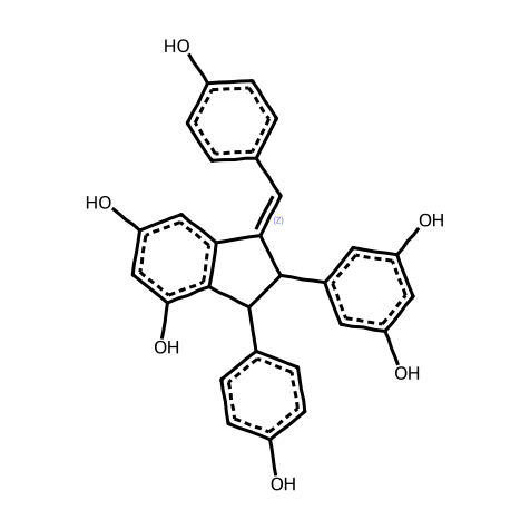 Oc1ccc(/C=C2\c3cc(O)cc(O)c3C(c3ccc(O)cc3)C2c2cc(O)cc(O)c2)cc1